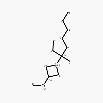 CCCCCC(C)(CC)N1CC(OC)C1